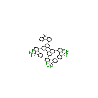 CC1(C)c2ccccc2-c2c(-c3cc4cc(-c5cccc6c5-c5ccccc5C6(C)C(F)(F)F)cc5c6cc(-c7cccc8c7-c7ccccc7C8(C)C(F)(F)F)cc7cc(-c8cccc9c8-c8ccccc8C9(C)C(F)(F)F)cc(c(c3)c45)c76)cccc21